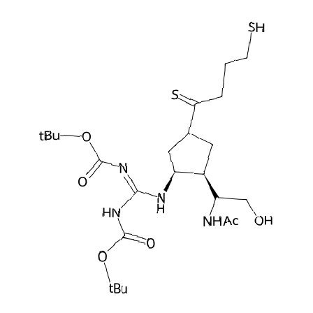 CC(=O)NC(CO)[C@@H]1CC(C(=S)CCCS)C[C@@H]1NC(=NC(=O)OC(C)(C)C)NC(=O)OC(C)(C)C